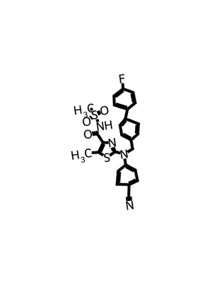 Cc1sc(N(Cc2ccc(-c3ccc(F)cc3)cc2)c2ccc(C#N)cc2)nc1C(=O)NS(C)(=O)=O